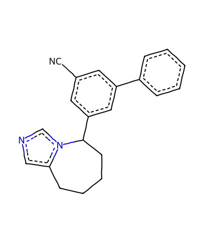 N#Cc1cc(-c2ccccc2)cc(C2CCCCc3cncn32)c1